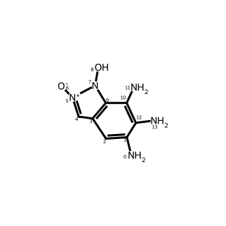 Nc1cc2c[n+]([O-])n(O)c2c(N)c1N